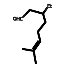 CCC(CC=O)CCC=C(C)C